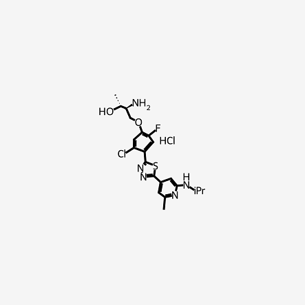 Cc1cc(-c2nnc(-c3cc(F)c(OC[C@H](N)[C@@H](C)O)cc3Cl)s2)cc(NC(C)C)n1.Cl